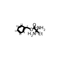 CCC(N)(N)C(=O)OCc1ccccc1